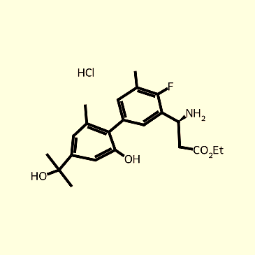 CCOC(=O)C[C@H](N)c1cc(-c2c(C)cc(C(C)(C)O)cc2O)cc(C)c1F.Cl